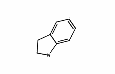 [c]1ccc2c(c1)CC[N]2